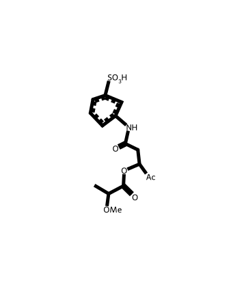 COC(C)C(=O)OC(CC(=O)Nc1cccc(S(=O)(=O)O)c1)C(C)=O